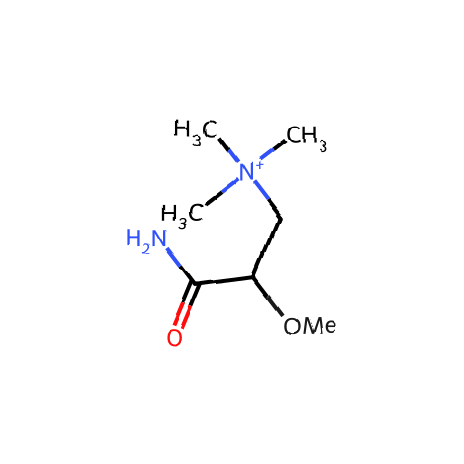 COC(C[N+](C)(C)C)C(N)=O